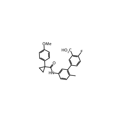 COc1ccc(C2(C(=O)Nc3ccc(C)c(-c4ccc(F)c(C(=O)O)c4)c3)CC2)cc1